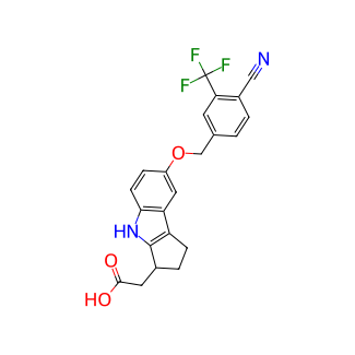 N#Cc1ccc(COc2ccc3[nH]c4c(c3c2)CCC4CC(=O)O)cc1C(F)(F)F